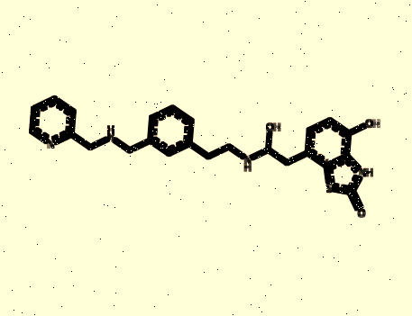 O=c1[nH]c2c(O)ccc(CC(O)NCCc3cccc(CNCc4ccccn4)c3)c2s1